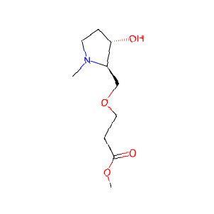 COC(=O)CCOC[C@@H]1[C@@H](O)CCN1C